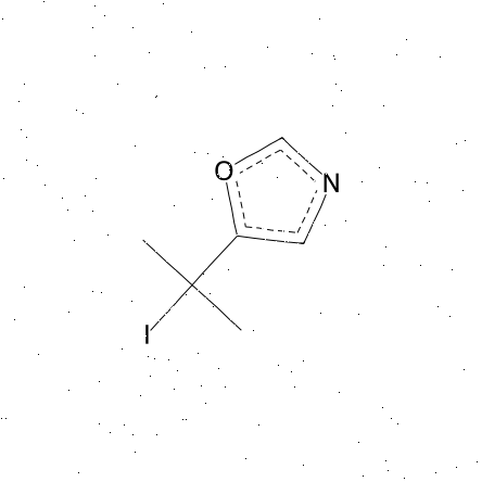 CC(C)(I)c1cnco1